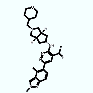 Cc1c(-c2cc(C(F)F)c(N[C@@H]3C[C@@H]4CN(CC5CCOCC5)C[C@@H]4C3)nn2)ccc2nn(C)cc12